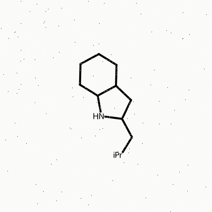 CC(C)CC1CC2CCCCC2N1